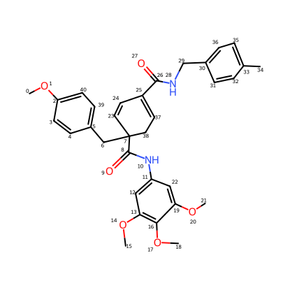 COc1ccc(CC2(C(=O)Nc3cc(OC)c(OC)c(OC)c3)C=CC(C(=O)NCc3ccc(C)cc3)=CC2)cc1